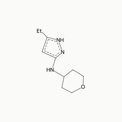 CCc1cc(NC2CCOCC2)n[nH]1